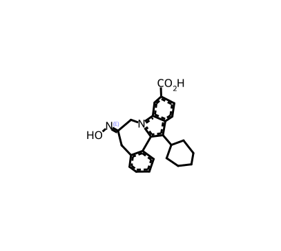 O=C(O)c1ccc2c(C3CCCCC3)c3n(c2c1)C/C(=N/O)Cc1ccccc1-3